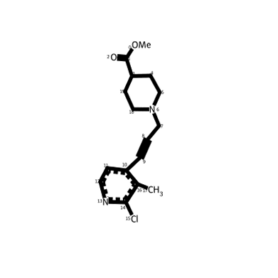 COC(=O)C1CCN(CC#Cc2ccnc(Cl)c2C)CC1